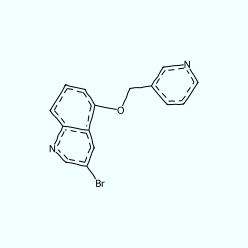 Brc1cnc2cccc(OCc3cccnc3)c2c1